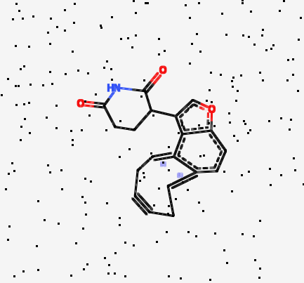 O=C1CCC(c2coc3ccc4/c(c23)=C\CC#CC/C=4)C(=O)N1